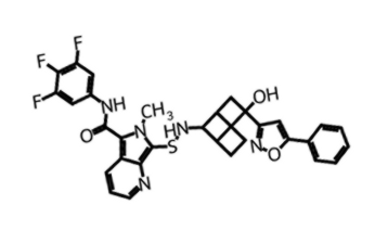 Cn1c(C(=O)Nc2cc(F)c(F)c(F)c2)c2cccnc2c1SNC1C2CCC23C1CC3(O)c1cc(-c2ccccc2)on1